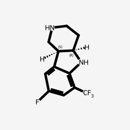 Fc1cc2c(c(C(F)(F)F)c1)N[C@@H]1CCNC[C@H]21